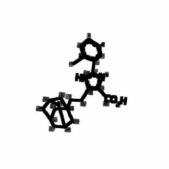 Cc1ccccc1-c1nc(C(=O)O)c(CCC23CC4CC(CC(C4)C2)C3)[nH]1